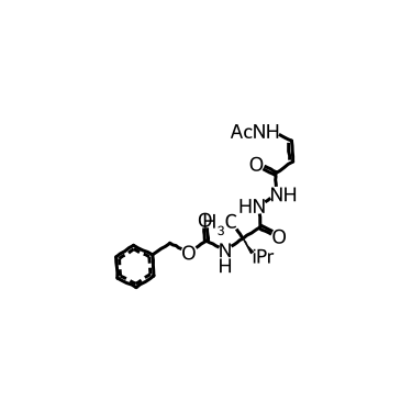 CC(=O)N/C=C\C(=O)NNC(=O)[C@@](C)(NC(=O)OCc1ccccc1)C(C)C